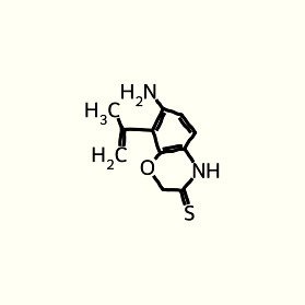 C=C(C)c1c(N)ccc2c1OCC(=S)N2